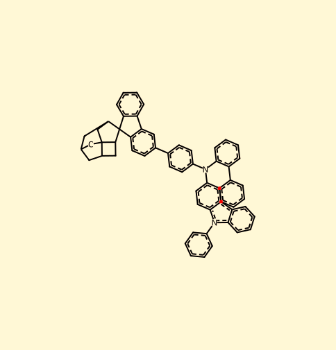 c1ccc(-c2ccccc2N(c2ccc(-c3ccc4c(c3)-c3ccccc3C43C4CC5CC6CC3C6(C5)C4)cc2)c2ccc3c(c2)c2ccccc2n3-c2ccccc2)cc1